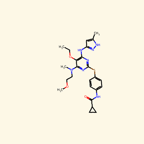 CCOc1c(Nc2cc(C)[nH]n2)nc(Sc2ccc(NC(=O)C3CC3)cc2)nc1N(C)CCOC